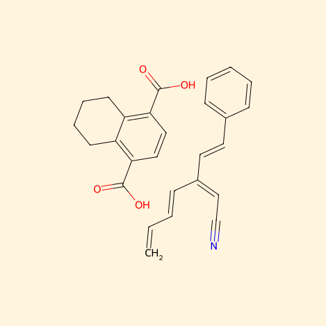 C=CC=CC(C=Cc1ccccc1)=CC#N.O=C(O)c1ccc(C(=O)O)c2c1CCCC2